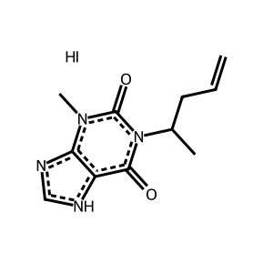 C=CCC(C)n1c(=O)c2[nH]cnc2n(C)c1=O.I